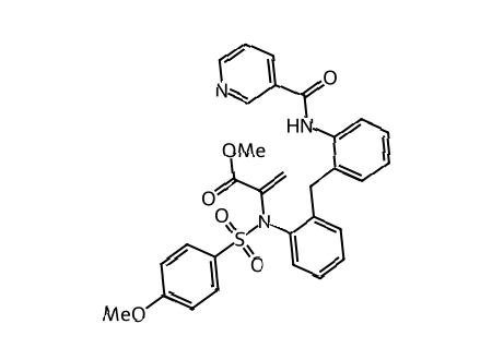 C=C(C(=O)OC)N(c1ccccc1Cc1ccccc1NC(=O)c1cccnc1)S(=O)(=O)c1ccc(OC)cc1